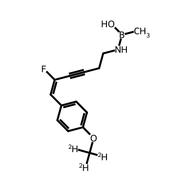 [2H]C([2H])([2H])Oc1ccc(/C=C(/F)C#CCCNB(C)O)cc1